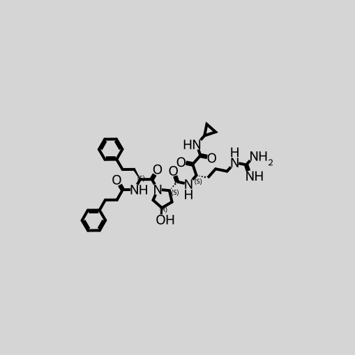 N=C(N)NCCC[C@H](NC(=O)[C@@H]1C[C@@H](O)CN1C(=O)[C@H](CCc1ccccc1)NC(=O)CCc1ccccc1)C(=O)C(=O)NC1CC1